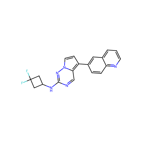 FC1(F)CC(Nc2ncc3c(-c4ccc5ncccc5c4)ccn3n2)C1